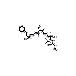 CC(=O)O[C@H](/C=C/[C@H](C)[C@H](C=O)/C(C)=C/C=C/[C@](C)(O)CCc1ccccc1)[C@](C)(O)CC[C@@H](O)CC=O